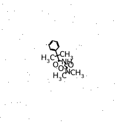 CN(C)S(=O)(=O)NC(=O)C(C)(C)c1c[c]ccc1